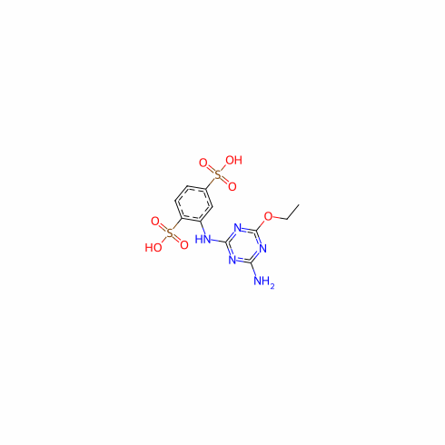 CCOc1nc(N)nc(Nc2cc(S(=O)(=O)O)ccc2S(=O)(=O)O)n1